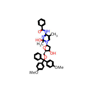 COc1ccc(C(OC[C@H]2O[C@@H](N3C=C(C)C(NC(=O)c4ccccc4)=NC3(C)O)CC2O)(c2ccccc2)c2ccc(OC)cc2)cc1